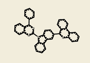 c1ccc(-c2nc(-n3c4ccccc4c4cc(-c5nc6ccccc6c6ccccc56)ccc43)nc3ccccc23)cc1